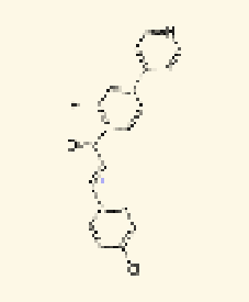 O=C(/C=C/c1ccc(Cl)cc1)c1ccc(-c2ccncc2)cc1F